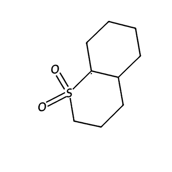 O=S1(=O)CCCC2CCCC[C]21